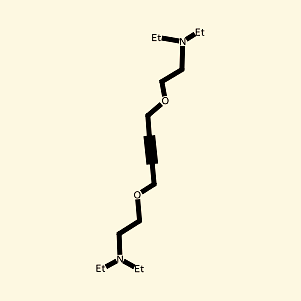 CCN(CC)CCOCC#CCOCCN(CC)CC